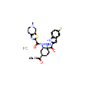 COC(=O)C1CCC(N)(C(=O)c2cc3cc(F)ccc3[nH]2)C(NC(=O)c2nc3c(s2)CN(C)CC3)C1.Cl